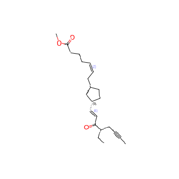 CC#CCC(CC)C(=O)/C=C/[C@H]1CCC(C/C=C\CCCC(=O)OC)C1